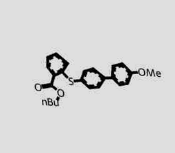 CCCCOC(=O)c1ccccc1Sc1ccc(-c2ccc(OC)cc2)cc1